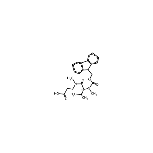 CC(C)[C@@H](C(=O)N(C)CCC(=O)O)N(C)C(=O)OCC1c2ccccc2-c2ccccc21